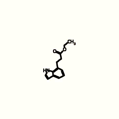 CCOC(=O)CCc1cccc2cc[nH]c12